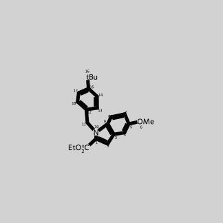 CCOC(=O)c1cc2cc(OC)ccc2n1Cc1ccc(C(C)(C)C)cc1